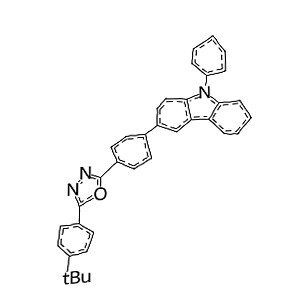 CC(C)(C)c1ccc(-c2nnc(-c3ccc(-c4ccc5c(c4)c4ccccc4n5-c4ccccc4)cc3)o2)cc1